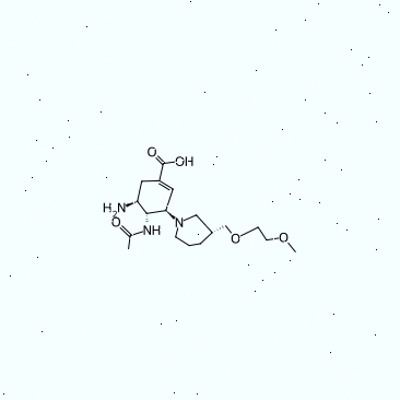 COCCOC[C@@H]1CCCN([C@@H]2C=C(C(=O)O)C[C@H](N)[C@H]2NC(C)=O)C1